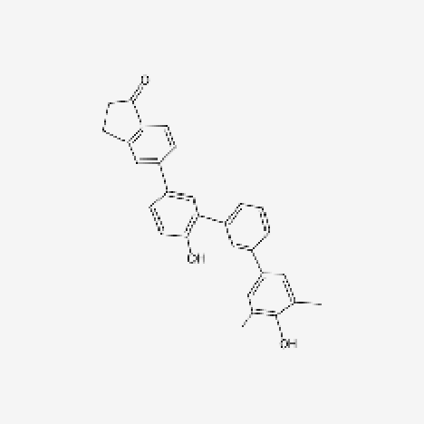 Cc1cc(-c2cccc(-c3cc(-c4ccc5c(c4)CCC5=O)ccc3O)c2)cc(C)c1O